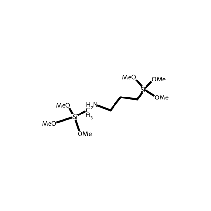 CO[Si](C)(OC)OC.CO[Si](CCCN)(OC)OC